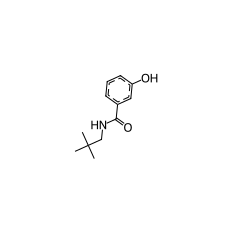 CC(C)(C)CNC(=O)c1cccc(O)c1